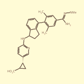 CN/N=C(\N)c1cc(C)c(-c2cccc3c2CCC3Nc2ccc([C@@H]3CC3C(=O)O)cn2)c(C)c1